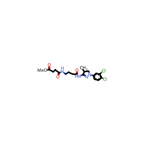 COC(=O)CCC(=O)NCCCC(=O)NC1=NN(c2ccc(Cl)c(Cl)c2)CC1C